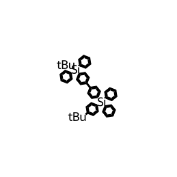 CC(C)(C)c1ccc([Si](c2ccccc2)(c2ccccc2)c2ccc(-c3ccc([Si](c4ccccc4)(c4ccccc4)C(C)(C)C)cc3)cc2)cc1